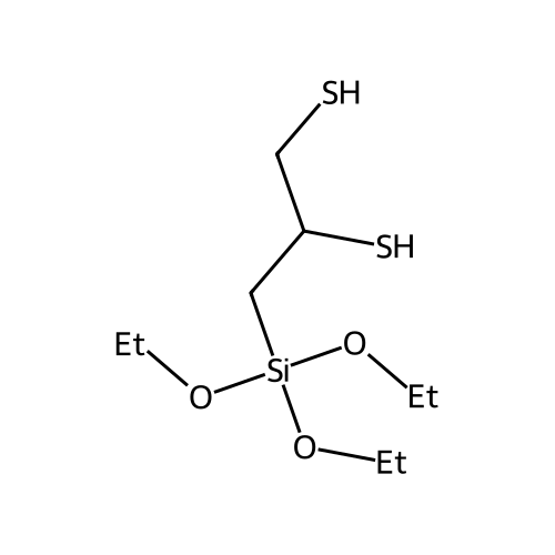 CCO[Si](CC(S)CS)(OCC)OCC